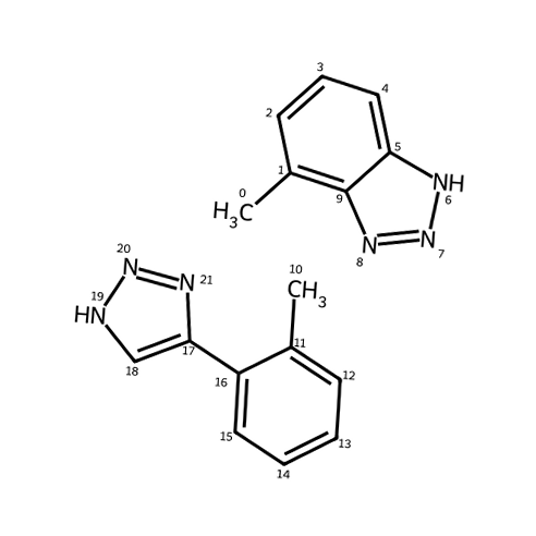 Cc1cccc2[nH]nnc12.Cc1ccccc1-c1c[nH]nn1